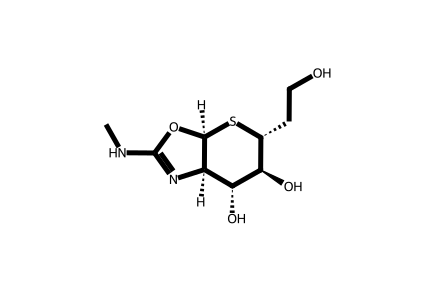 CNC1=N[C@@H]2[C@@H](O)[C@H](O)[C@@H](CCO)S[C@@H]2O1